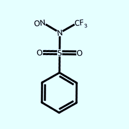 O=NN(C(F)(F)F)S(=O)(=O)c1ccccc1